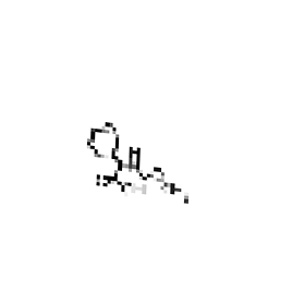 COCN[C@H](C(=O)O)[C@H]1CCCOC1